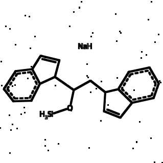 [NaH].[SiH3]OC(CC1C=Cc2ccccc21)C1C=Cc2ccccc21